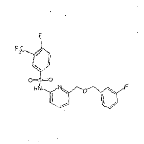 O=S(=O)(Nc1cccc(COCc2cccc(F)c2)n1)c1ccc(F)c(C(F)(F)F)c1